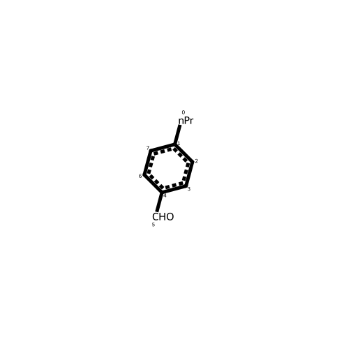 [CH2]CCc1ccc(C=O)cc1